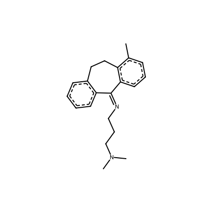 Cc1cccc2c1CCc1ccccc1C2=NCCCN(C)C